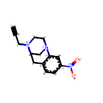 C#CCN1CCN2CC1Cc1ccc([N+](=O)[O-])cc12